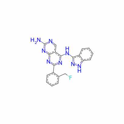 Nc1ncc2c(Nc3n[nH]c4ccccc34)nc(-c3ccccc3CF)nc2n1